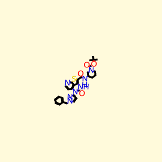 CC(C)(C)OC(=O)N1CCCC(NC(=O)c2sc3nccc4c3c2NC(=O)N4c2ccn(Cc3ccccc3)n2)C1